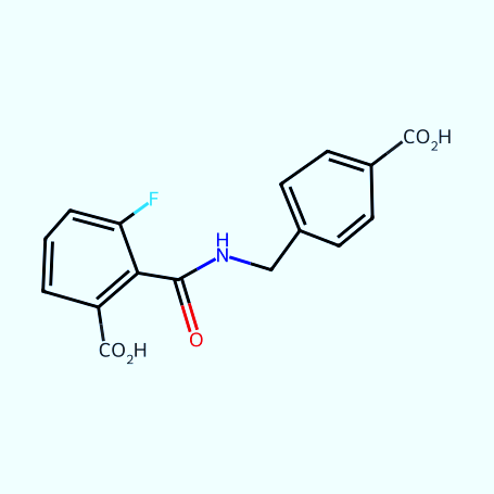 O=C(O)c1ccc(CNC(=O)c2c(F)cccc2C(=O)O)cc1